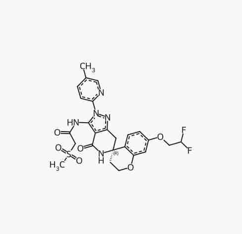 Cc1ccc(-n2nc3c(c2NC(=O)CS(C)(=O)=O)C(=O)N[C@@]2(CCOc4cc(OCC(F)F)ccc42)C3)nc1